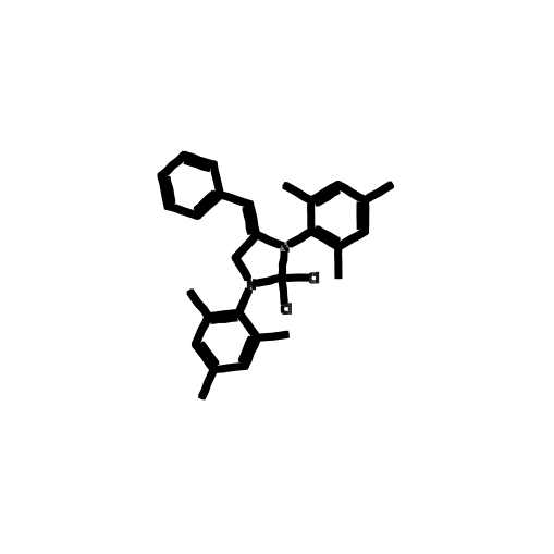 Cc1cc(C)c(N2CC(=Cc3ccccc3)N(c3c(C)cc(C)cc3C)C2(Cl)Cl)c(C)c1